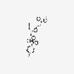 COC(=O)CCO[C@H](CF)COS(=O)(=O)c1ccc(C)cc1